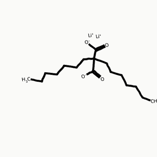 CCCCCCCC(CCCCCCC)(C(=O)[O-])C(=O)[O-].[Li+].[Li+]